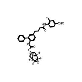 C[N+]1(C)[C@@H]2C[C@@H](OC(=O)Nc3ccc(CCCC(=O)Nc4ccc(C=O)cc4Cl)cc3-c3ccccc3)C[C@H]1[C@@H]1O[C@@H]12